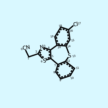 N#CCc1nc2c(s1)-c1ccccc1Sc1cc(Cl)ccc1-2